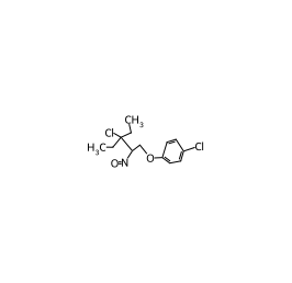 CCC(Cl)(CC)C(COc1ccc(Cl)cc1)N=O